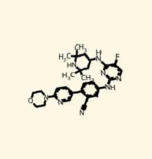 CC1(C)CC(Nc2nc(Nc3ccc(-c4ccc(N5CCOCC5)nc4)c(C#N)c3)ncc2F)CC(C)(C)N1